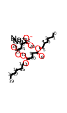 CCCCCCOC(=O)CCC(=O)OCCCCCC.O=C([O-])CCC(=O)[O-].[Na+].[Na+]